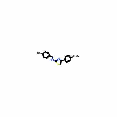 COc1ccc(-c2csc(NCc3ccc(C#N)cc3)n2)cc1